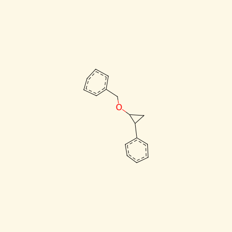 c1ccc(COC2CC2c2ccccc2)cc1